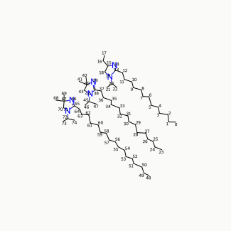 CCCCCCCCCCCCCC1=NC(CC)CN1C(C)C.CCCCCCCCCCCCCCCC1=NC(C)(C)CN1C(C)C.CCCCCCCCCCCCCCCCCC1=NC(C)(C)CN1C(C)C